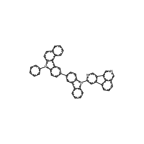 c1ccc(-n2c3ccc(-c4ccc5c(c4)c4ccccc4n5-c4cc5c(cn4)-c4cncc6cccc-5c46)cc3c3c4ccccc4ccc32)cc1